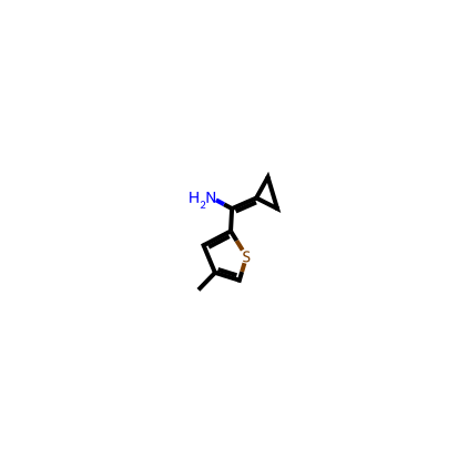 Cc1csc(C(N)=C2CC2)c1